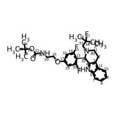 C[C@@H]1Cc2c([nH]c3ccccc23)[C@@H](c2c(F)cc(OCCNC(=O)OC(C)(C)C)cc2F)N1CC(C)(C)F